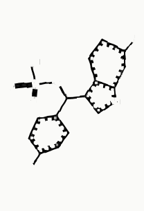 CS(=O)(=O)OC(c1ccc(C(F)(F)F)cc1)c1c[nH]c2cc(F)ccc12